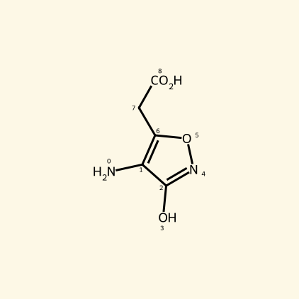 Nc1c(O)noc1CC(=O)O